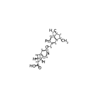 CC1CC(C)c2cc(COc3cc4c(cn3)[C@H]3[C@@H](C4)[C@@H]3C(=O)O)c(F)cc21